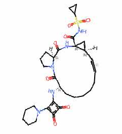 O=C1N[C@]2(C(=O)NS(=O)(=O)C3CC3)C[C@H]2/C=C\CCCCC[C@H](Nc2c(N3CCCCC3)c(=O)c2=O)C(=O)N2CCC[C@@H]12